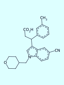 Cc1cccc(C(CC(=O)O)c2cn(CC3CCOCC3)c3ccc(C#N)cc23)c1